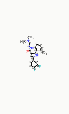 CN(C)CCNC(=O)c1cc(-c2ccc(F)c(F)c2)[nH]c1-c1ccccc1[N+](=O)[O-]